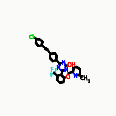 Cc1cccc(COc2cccc(C(F)(F)F)c2-c2nc(O)nc(-c3ccc(C#Cc4ccc(Cl)cc4)cc3)n2)n1